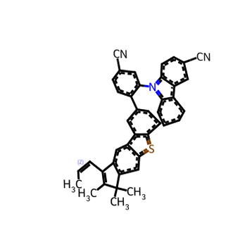 C/C=C\C1=C(C)C(C)(C)c2cc3sc4ccc(-c5ccc(C#N)cc5-n5c6ccccc6c6cc(C#N)ccc65)cc4c3cc21